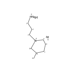 CCCCCCCCCCN1CCCC(C)C1.I